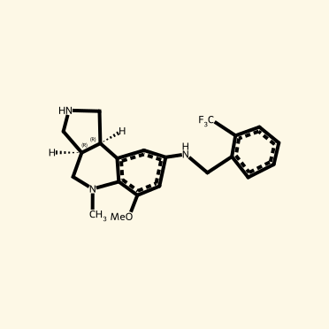 COc1cc(NCc2ccccc2C(F)(F)F)cc2c1N(C)C[C@H]1CNC[C@@H]21